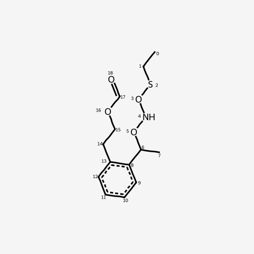 CCSONOC(C)c1ccccc1CCOC=O